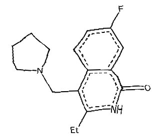 CCc1[nH]c(=O)c2cc(F)ccc2c1CN1CCCC1